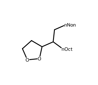 CCCCCCCCCCC(CCCCCCCC)C1CCOO1